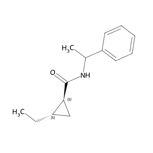 CC[C@H]1C[C@@H]1C(=O)NC(C)c1ccccc1